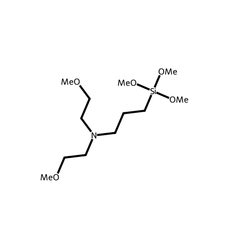 COCCN(CCC[Si](OC)(OC)OC)CCOC